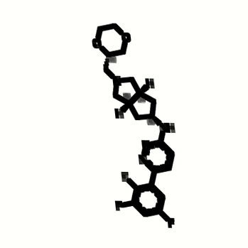 Fc1cc(F)c(F)c(-c2ccc(N[C@H]3C[C@@H]4CN(C[C@H]5COCCO5)C[C@@H]4C3)nn2)c1